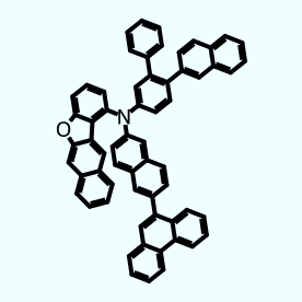 c1ccc(-c2cc(N(c3ccc4cc(-c5cc6ccccc6c6ccccc56)ccc4c3)c3cccc4oc5cc6ccccc6cc5c34)ccc2-c2ccc3ccccc3c2)cc1